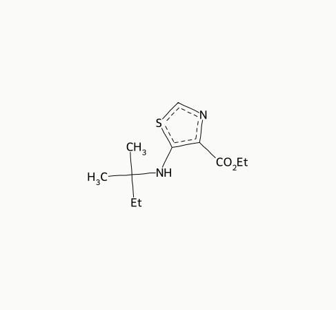 CCOC(=O)c1ncsc1NC(C)(C)CC